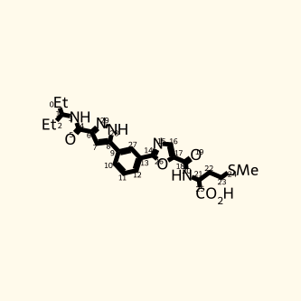 CCC(CC)NC(=O)c1cc(-c2cccc(-c3ncc(C(=O)NC(CCSC)C(=O)O)o3)c2)[nH]n1